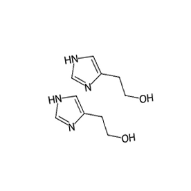 OCCc1c[nH]cn1.OCCc1c[nH]cn1